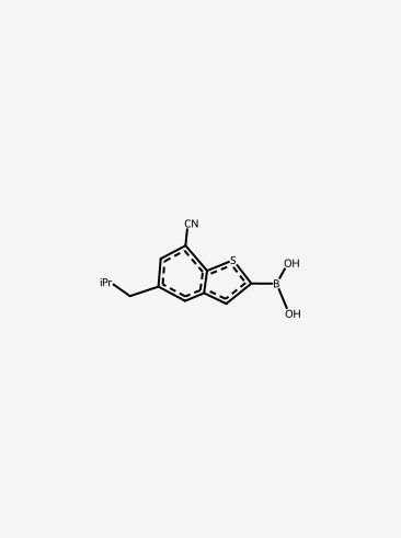 CC(C)Cc1cc(C#N)c2sc(B(O)O)cc2c1